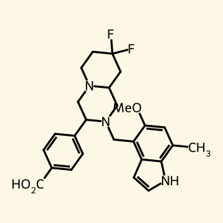 COc1cc(C)c2[nH]ccc2c1CN1CC2CC(F)(F)CCN2CC1c1ccc(C(=O)O)cc1